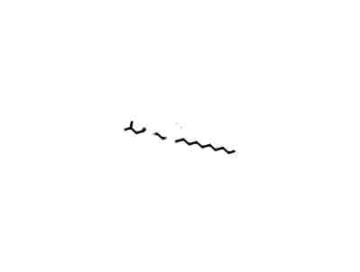 CCCCCCCCCCOCCOC(=O)CC(C)C.N